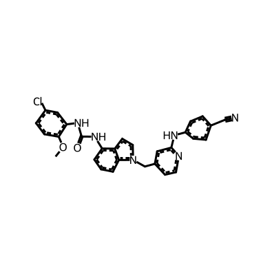 COc1ccc(Cl)cc1NC(=O)Nc1cccc2c1ccn2Cc1ccnc(Nc2ccc(C#N)cc2)c1